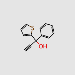 C#CC(O)(c1ccccc1)c1cccs1